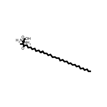 CCCCCCCCCCCCCCCCCCCCCCCCC=CCCCCCCCC(=O)C(C)C(N)(N)C(=O)O